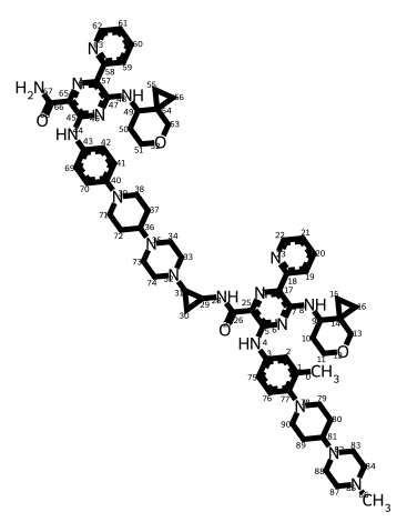 Cc1cc(Nc2nc(NC3CCOCC34CC4)c(-c3ccccn3)nc2C(=O)NC2CC2N2CCN(C3CCN(c4ccc(Nc5nc(NC6CCOCC67CC7)c(-c6ccccn6)nc5C(N)=O)cc4)CC3)CC2)ccc1N1CCC(N2CCN(C)CC2)CC1